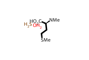 CN[C@@H](CCSC)C(=O)O.O.S